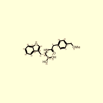 COCc1ccc(CC(=O)N[C@@H](Cc2coc3ccccc23)B(O)O)cc1